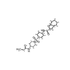 C=CC(=O)NC1CCN(S(=O)(=O)c2ccc(NC(=O)c3cc4ccccc4o3)cc2)CC1